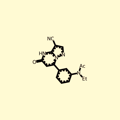 CCN(C(C)=O)c1cccc(-c2cc(=O)[nH]c3c(C#N)cnn23)c1